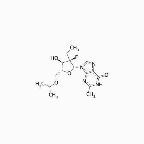 CC[C@@]1(F)[C@H](O)[C@@H](COC(C)C)O[C@H]1n1cnc2c(=O)[nH]c(C)nc21